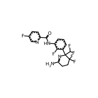 NC1=NC(c2cccc(NC(=O)c3ccc(F)cn3)c2F)(C(F)F)C(F)(F)CC1